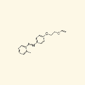 C=COCCOc1ccc(N=Nc2ccccc2C)cc1